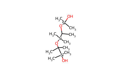 CC(O[Si](C)(C)O)[Si](C)(C)OC(C)(C)[Si](C)(C)O